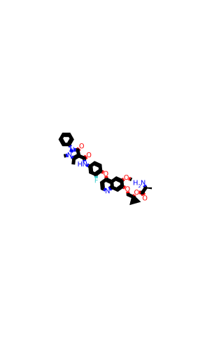 COc1cc2c(Oc3ccc(NC(=O)c4c(C)n(C)n(-c5ccccc5)c4=O)cc3F)ccnc2cc1OCC1(OC(=O)[C@H](C)N)CC1